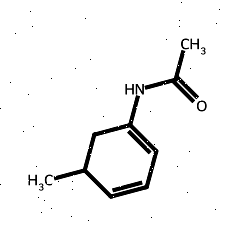 CC(=O)NC1=CC=CC(C)C1